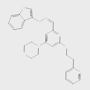 C(=N/Nc1c[nH]c2ccccc12)/c1cc(N2CCOCC2)cc(OCCc2ccccn2)n1